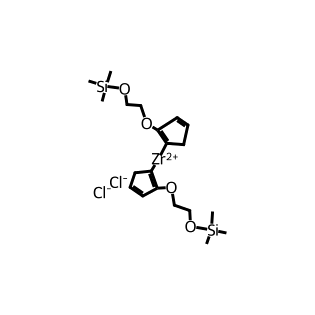 C[Si](C)(C)OCCOC1=[C]([Zr+2][C]2=C(OCCO[Si](C)(C)C)C=CC2)CC=C1.[Cl-].[Cl-]